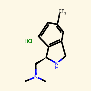 CN(C)C[C@@H]1NCc2cc(C(F)(F)F)ccc21.Cl